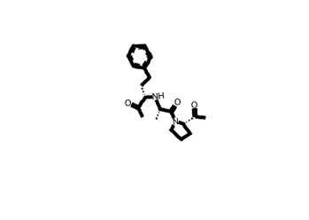 CC(=O)[C@H](CCc1ccccc1)N[C@@H](C)C(=O)N1CCC[C@H]1C(C)=O